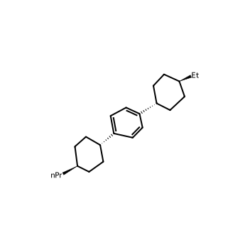 CCC[C@H]1CC[C@H](c2ccc([C@H]3CC[C@H](CC)CC3)cc2)CC1